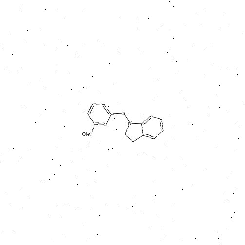 O=Cc1cccc(SN2CCc3ccccc32)c1